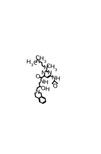 CN(C)CCN(C)c1nc(NC2COC2)cc(C(=O)NCC(O)CN2CCc3ccccc3C2)n1